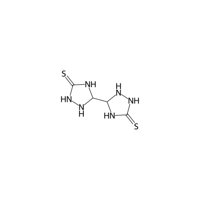 S=C1NNC(C2NNC(=S)N2)N1